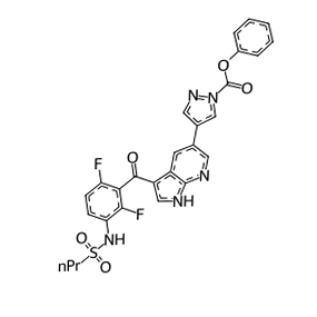 CCCS(=O)(=O)Nc1ccc(F)c(C(=O)c2c[nH]c3ncc(-c4cnn(C(=O)Oc5ccccc5)c4)cc23)c1F